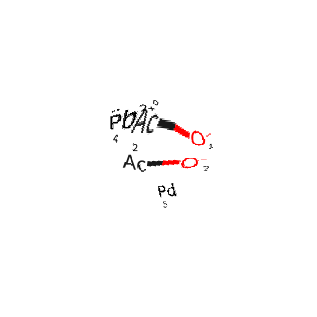 CC(=O)[O-].CC(=O)[O-].[Pb+2].[Pd]